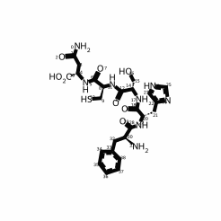 NC(=O)C[C@H](NC(=O)[C@H](CS)NC(=O)[C@H](CO)NC(=O)[C@H](Cc1c[nH]cn1)NC(=O)[C@@H](N)Cc1ccccc1)C(=O)O